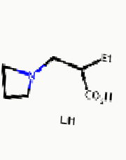 CCC(CN1CCC1)C(=O)O.[LiH]